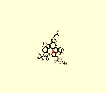 [2H]C([2H])([2H])n1c(=O)n([C@@H]2CC[C@@H](NC(=O)OC)C2)c2c3c(-c4ccc5c(c4)COC5(C)C)c(-c4cn(CC(F)F)nc4F)[nH]c3ncc21